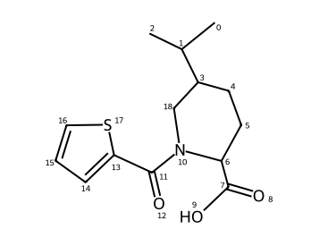 CC(C)C1CCC(C(=O)O)N(C(=O)c2cccs2)C1